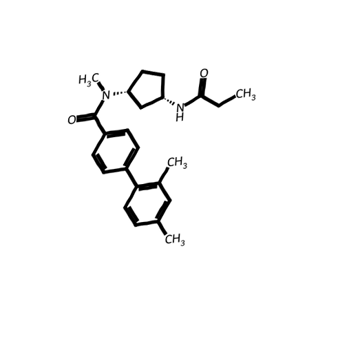 CCC(=O)N[C@H]1CC[C@@H](N(C)C(=O)c2ccc(-c3ccc(C)cc3C)cc2)C1